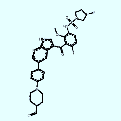 COc1c(NS(=O)(=O)N2CC[C@@H](F)C2)ccc(F)c1C(=O)c1c[nH]c2ncc(-c3ccc(N4CCC(C=O)CC4)cc3)cc12